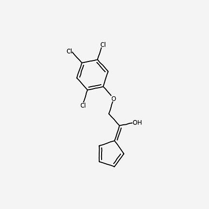 OC(COc1cc(Cl)c(Cl)cc1Cl)=C1C=CC=C1